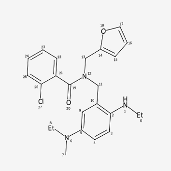 CCNc1ccc(N(C)CC)cc1CN(Cc1ccco1)C(=O)c1ccccc1Cl